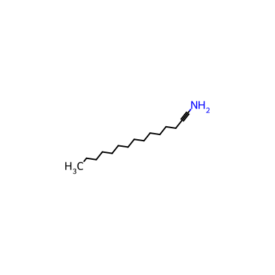 CCCCCCCCCCCCCC#CN